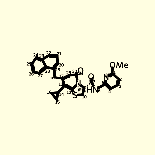 COc1cccc(NC(=O)[C@@H]2CSc3c(C4CC4)c(Cc4cccc5ccccc45)cc(=O)n32)n1